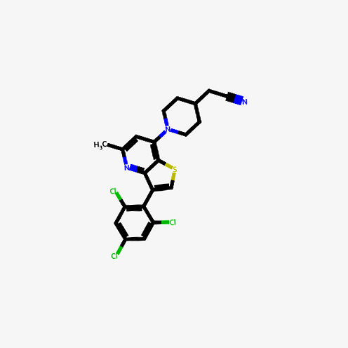 Cc1cc(N2CCC(CC#N)CC2)c2scc(-c3c(Cl)cc(Cl)cc3Cl)c2n1